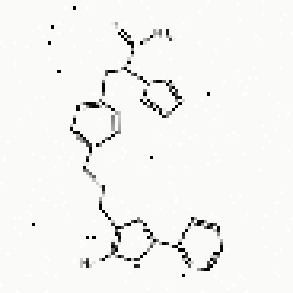 Cc1oc(-c2ccccc2)nc1CCCc1ccc(CC(C(N)=O)n2cccc2)cc1